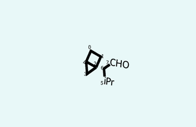 C1CC2CC12.CC(C)CC=O